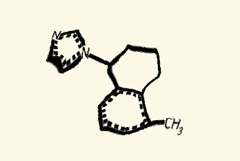 Cc1cccc2c1CCCC2n1ccnc1